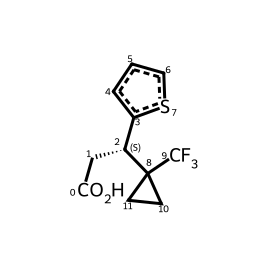 O=C(O)C[C@H](c1cccs1)C1(C(F)(F)F)CC1